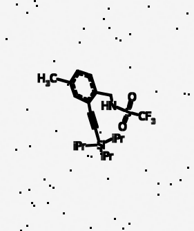 Cc1ccc(CNS(=O)(=O)C(F)(F)F)c(C#C[Si](C(C)C)(C(C)C)C(C)C)c1